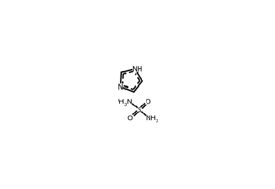 NS(N)(=O)=O.c1c[nH]cn1